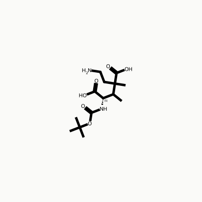 CC([C@H](NC(=O)OC(C)(C)C)C(=O)O)C(C)(CCN)C(=O)O